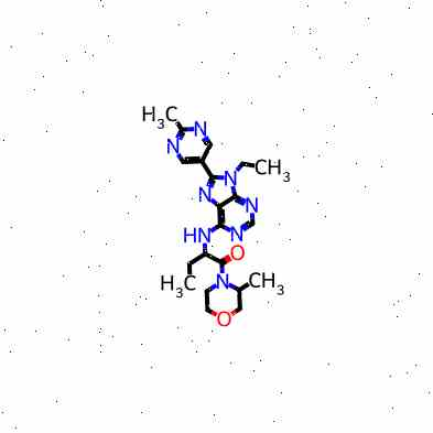 CCC(Nc1ncnc2c1nc(-c1cnc(C)nc1)n2CC)C(=O)N1CCOCC1C